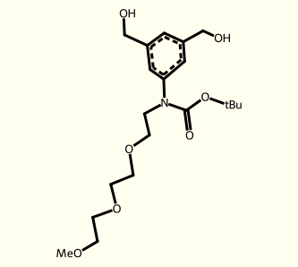 COCCOCCOCCN(C(=O)OC(C)(C)C)c1cc(CO)cc(CO)c1